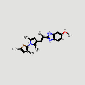 Cc1cc(C#N)c(-n2c(C)cc(C=C(C#N)c3nc4ccc(OC(F)(F)F)cc4[nH]3)c2C)s1